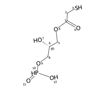 O=C(CS)OC[C@@H](O)CO[PH](=O)O